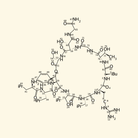 CC[C@H](C)[C@@H]1NC(=O)[C@@H](CCCNC(=N)N)NC(=O)[C@H](CC(C)C)NC(=O)[C@H]([C@H](O)C(C)C)NC(=O)[C@@H](NC(=O)[C@H](CC(C)C)NC(=O)[C@H](N)CC(C)C)[C@@H](c2ccccc2)OC(=O)[C@H](CO)NC(=O)[C@H]([C@H](O)C(=O)NCC(N)=O)NC(=O)CNC(=O)[C@H]([C@H](C)O)NC1=O